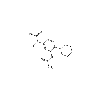 CC(=O)Oc1cc(C(Cl)C(=O)O)ccc1C1CCCCC1